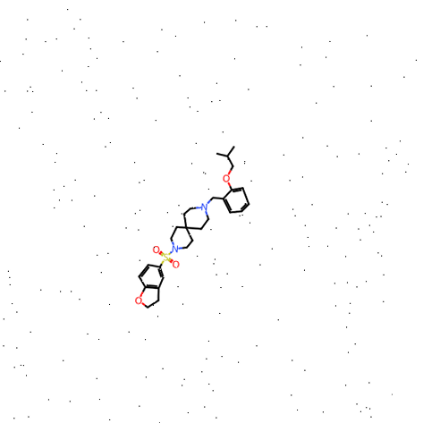 CC(C)COc1ccccc1CN1CCC2(CC1)CCN(S(=O)(=O)c1ccc3c(c1)CCO3)CC2